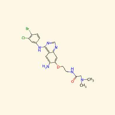 CN(C)CC(=O)NCCOc1cc2ncnc(Nc3ccc(Br)c(Cl)c3)c2cc1N